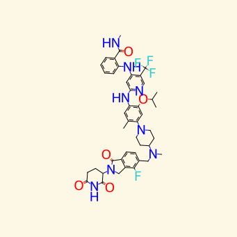 CNC(=O)c1ccccc1Nc1cc(Nc2cc(C)c(N3CCC(N(C)Cc4ccc5c(c4F)CN(C4CCC(=O)NC4=O)C5=O)CC3)cc2OC(C)C)ncc1C(F)(F)F